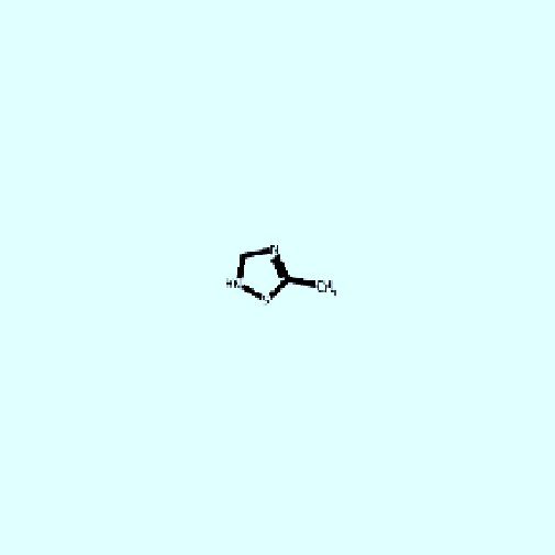 CC1=NCNS1